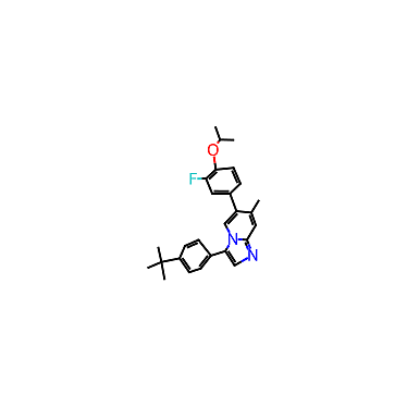 Cc1cc2ncc(-c3ccc(C(C)(C)C)cc3)n2cc1-c1ccc(OC(C)C)c(F)c1